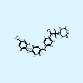 CC(C)(C(=O)c1ccc(Sc2ccc(Oc3ccc(O)cc3)cc2)cc1)N1CCOCC1